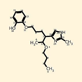 CCCCOC(C)C(CCCOc1ccccc1O)c1c[nH]c(C)n1